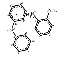 Nc1ccccc1N.c1ccc(Nc2ccccc2)cc1